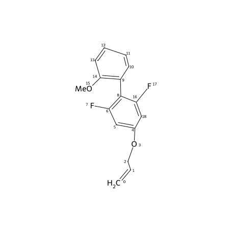 C=CCOc1cc(F)c(-c2ccc[c]c2OC)c(F)c1